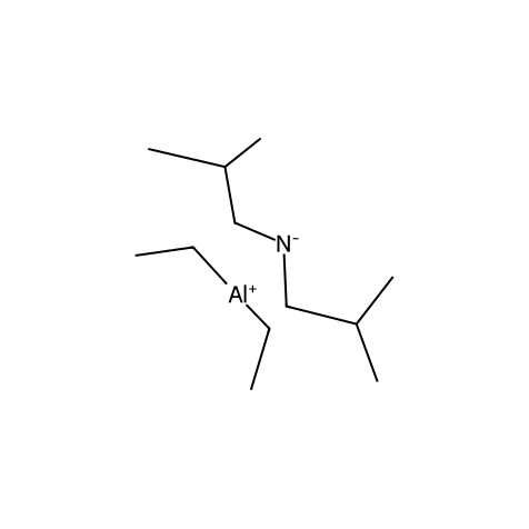 CC(C)C[N-]CC(C)C.C[CH2][Al+][CH2]C